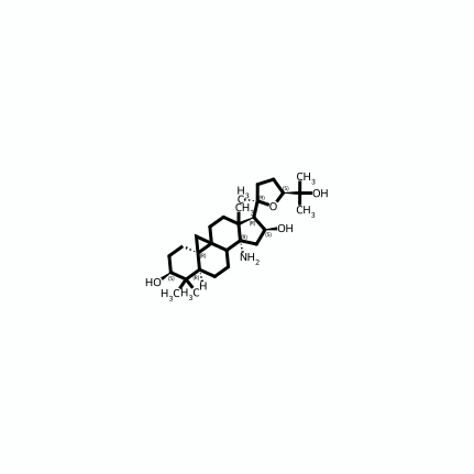 CC(C)(O)[C@@H]1CC[C@](C)([C@H]2[C@@H](O)C[C@@]3(N)C4CC[C@H]5C(C)(C)[C@@H](O)CC[C@@]56CC46CCC23C)O1